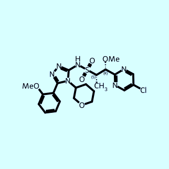 COc1ccccc1-c1nnc(NS(=O)(=O)[C@@H](C)[C@H](OC)c2ncc(Cl)cn2)n1C1CCCOC1